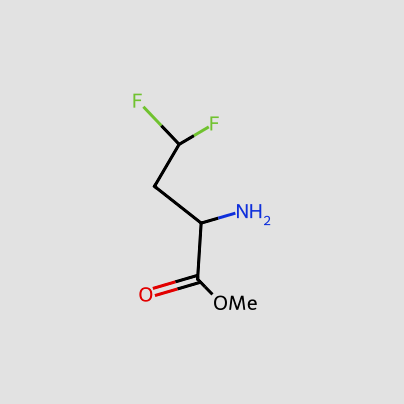 COC(=O)C(N)CC(F)F